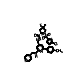 Cc1ccc(-c2cc(CNC(=O)[C@@H]3CC(F)(F)CN3S(=O)(=O)c3ccc(Cl)s3)cc(NCc3ccncc3)n2)cc1